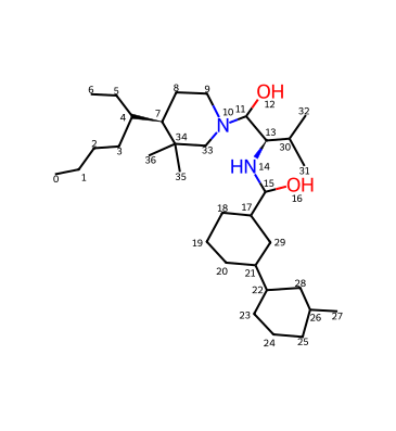 CCCCC(CC)[C@H]1CCN(C(O)[C@H](NC(O)C2CCCC(C3CCCC(C)C3)C2)C(C)C)CC1(C)C